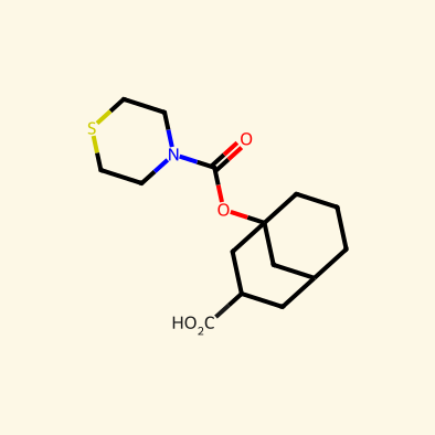 O=C(O)C1CC2CCCC(OC(=O)N3CCSCC3)(C2)C1